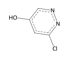 Oc1cnnc(Cl)c1